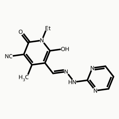 CCn1c(O)c(/C=N/Nc2ncccn2)c(C)c(C#N)c1=O